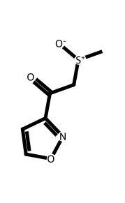 C[S+]([O-])CC(=O)c1ccon1